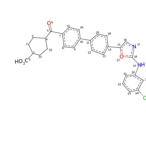 O=C(O)C1CCC(C(=O)c2ccc(-c3ccc(-c4cnc(Nc5cccc(Cl)c5)o4)cc3)cc2)CC1